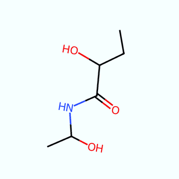 CCC(O)C(=O)NC(C)O